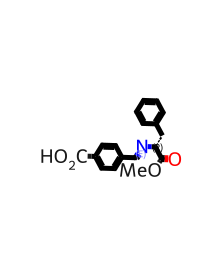 COC(=O)[C@@H](Cc1ccccc1)/N=C/c1ccc(C(=O)O)cc1